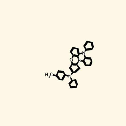 Cc1ccc(N(c2ccccc2)c2ccc3c(c2)Oc2cccc4c2B3c2ccccc2N4c2ccccc2)cc1